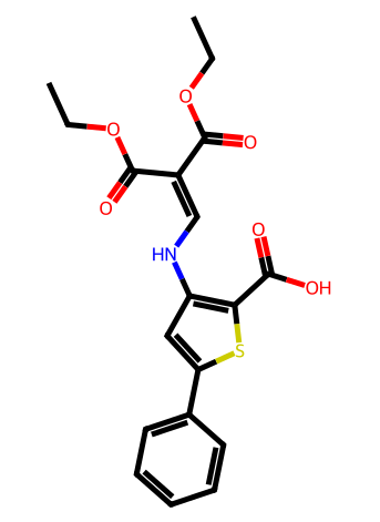 CCOC(=O)C(=CNc1cc(-c2ccccc2)sc1C(=O)O)C(=O)OCC